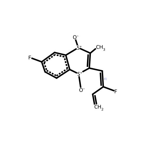 C=C/C(F)=C\C1=C(C)[S+]([O-])c2cc(F)ccc2[S+]1[O-]